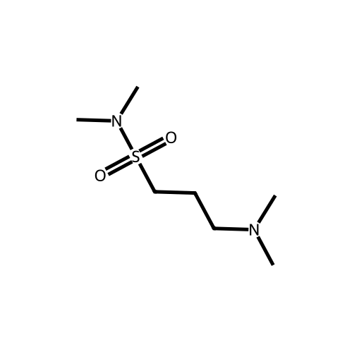 CN(C)CCCS(=O)(=O)N(C)C